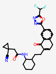 N#CC1(CC(=O)NC2CCCCC2CCC2=CCc3ccc(-c4nnc(C(F)F)o4)cc3C2=O)CC1